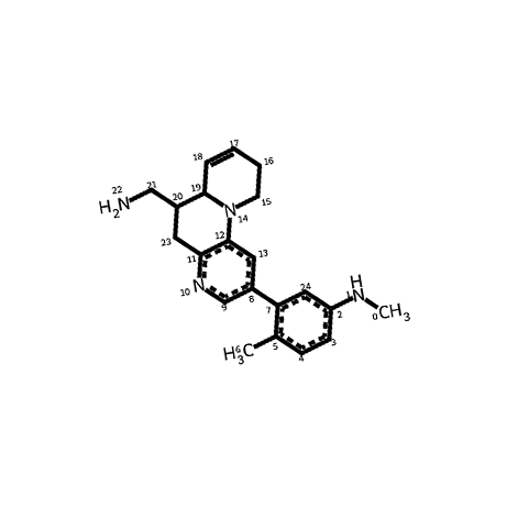 CNc1ccc(C)c(-c2cnc3c(c2)N2CCC=CC2C(CN)C3)c1